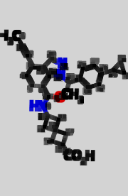 CC#Cc1ccc(C(=O)NC2CC3(C2)CC(C(=O)O)C3)c2c1cnn2C(C)c1ccc(C2CC2)cc1